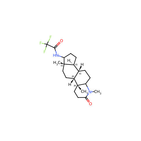 CN1C(=O)CC[C@@]2(C)C1CC[C@@H]1[C@H]2CC[C@]2(C)C(NC(=O)C(F)(F)F)CC[C@@H]12